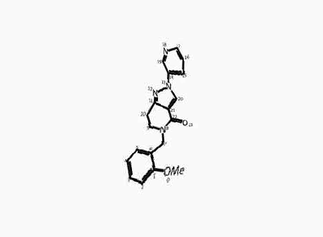 COc1ccccc1CN1CCc2nn(-c3cccnc3)cc2C1=O